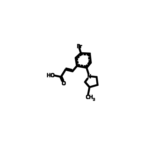 CC1CCN(c2ccc(Br)cc2C=CC(=O)O)C1